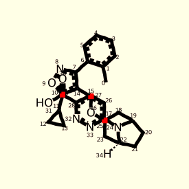 Cc1ccccc1-c1noc(C2CC2)c1COC1CC2CC[C@@H](C1)N2c1ccc(C(=O)O)nn1